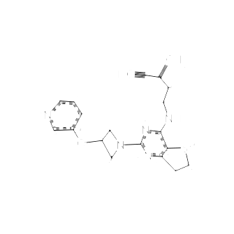 C#CC(=C)CCNc1nc(N2CC(Oc3cccnc3)C2)nc2c1SCC2